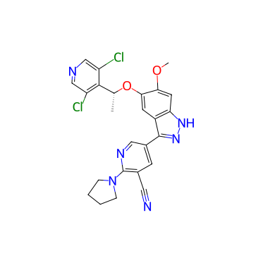 COc1cc2[nH]nc(-c3cnc(N4CCCC4)c(C#N)c3)c2cc1O[C@H](C)c1c(Cl)cncc1Cl